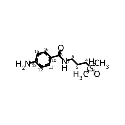 C[SH](C)(=O)CCCNC(=O)c1ccc(N)cc1